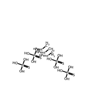 CCCCCC.CCCCCC.CCCCCC.OP(O)(O)=S.OP(O)(O)=S.OP(O)(O)=S.OP(O)(O)=S